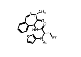 CC(=O)N(c1ccsc1)[C@@H](CC(C)C)C(=O)NC1C(=O)N(C)N=Cc2ccccc21